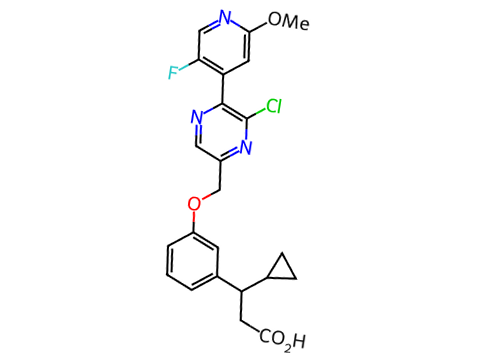 COc1cc(-c2ncc(COc3cccc(C(CC(=O)O)C4CC4)c3)nc2Cl)c(F)cn1